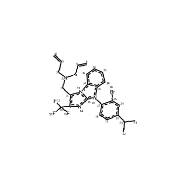 C=CCN(CC=C)Cc1c(C(F)(F)F)nc2n(-c3ccc(C(C)C)cc3Br)c3ccccc3n12